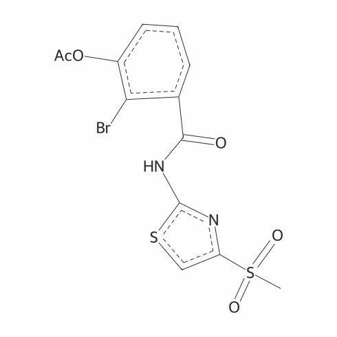 CC(=O)Oc1cccc(C(=O)Nc2nc(S(C)(=O)=O)cs2)c1Br